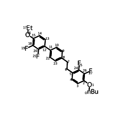 CCCCOc1ccc(CCc2ccc(-c3ccc(OCC)c(F)c3F)cc2)c(F)c1F